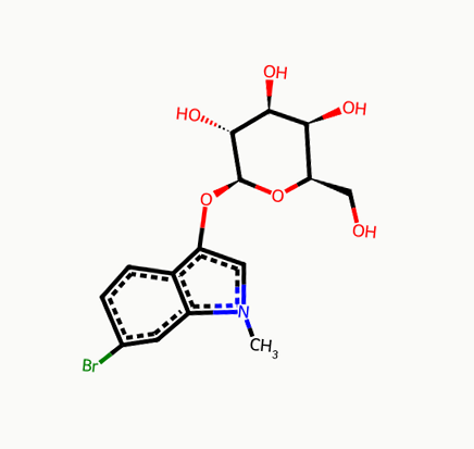 Cn1cc(O[C@@H]2O[C@H](CO)[C@H](O)[C@H](O)[C@H]2O)c2ccc(Br)cc21